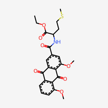 CCOC(=O)C(CCSC)NC(=O)c1cc(OC)c2c(c1)C(=O)c1cccc(OC)c1C2=O